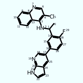 CC(Nc1c(Cl)cnc2ccccc12)c1cc(-c2cnc3[nH]ccc3c2)ccc1F